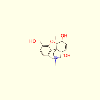 CN1CCC23c4c5ccc(CO)c4O[C@H]2C(O)C=C[C@@]3(O)C1C5